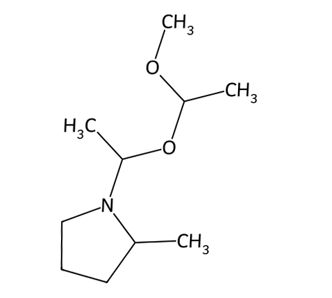 COC(C)OC(C)N1CCCC1C